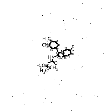 Cc1ccc(-c2c(NC(=O)CC(C)(C)C)nc3ccc(F)cn23)cc1Cl